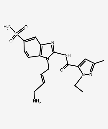 CCn1nc(C)cc1C(=O)Nc1nc2cc(S(N)(=O)=O)ccc2n1C/C=C/CN